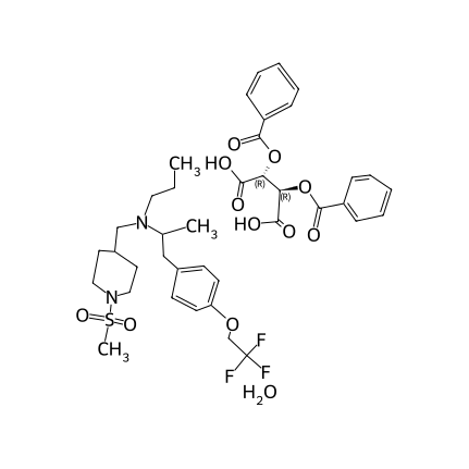 CCCN(CC1CCN(S(C)(=O)=O)CC1)C(C)Cc1ccc(OCC(F)(F)F)cc1.O.O=C(O[C@@H](C(=O)O)[C@@H](OC(=O)c1ccccc1)C(=O)O)c1ccccc1